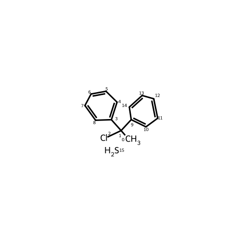 CC(Cl)(c1ccccc1)c1ccccc1.S